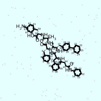 C[C@H](NC(=O)[C@@H](Cc1ccccc1)NC(=O)[C@H](Cc1ccc(-c2ccccc2)cc1)NC(=O)C(Cc1ccccc1)NC(=O)CCC(=O)Nc1ccccc1)C(=O)N[C@@H](Cc1ccc(N)cc1)C(=O)O